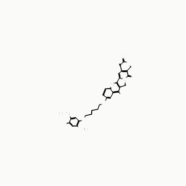 CCc1c2c(nc3ccc(OCCCCCOc4cc(N)c(C(=O)O)cc4OC)cc13)-c1cc3c(c(=O)n1C2)COC(=O)[C@]3(O)CC